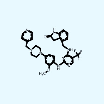 COc1cc(N2CCN(Cc3ccncc3)CC2)ccc1Nc1ncc(C(F)(F)F)c(NCc2cccc3c2CC(=O)N3)n1